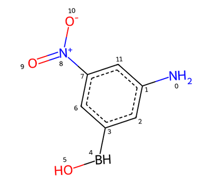 Nc1cc(BO)cc([N+](=O)[O-])c1